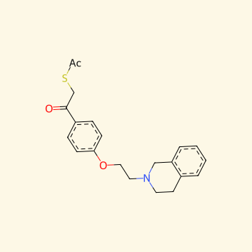 CC(=O)SCC(=O)c1ccc(OCCN2CCc3ccccc3C2)cc1